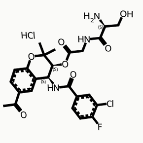 CC(=O)c1ccc2c(c1)[C@H](NC(=O)c1ccc(F)c(Cl)c1)[C@H](OC(=O)CNC(=O)[C@@H](N)CO)C(C)(C)O2.Cl